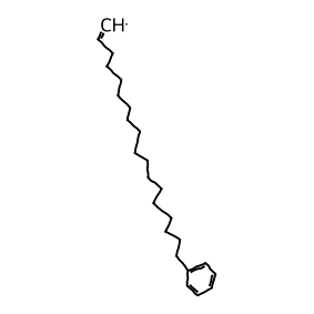 [CH]=CCCCCCCCCCCCCCCCCc1ccccc1